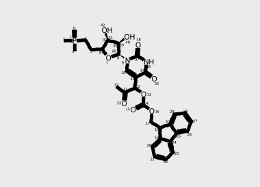 C=P(C)(C)CCC1O[C@@H](n2cc(C(OC(=O)OCC3c4ccccc4-c4ccccc43)C(C)=O)c(=O)[nH]c2=O)[C@H](O)[C@@H]1O